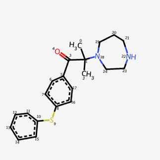 CC(C)(C(=O)c1ccc(Sc2ccccc2)cc1)N1CCCNCC1